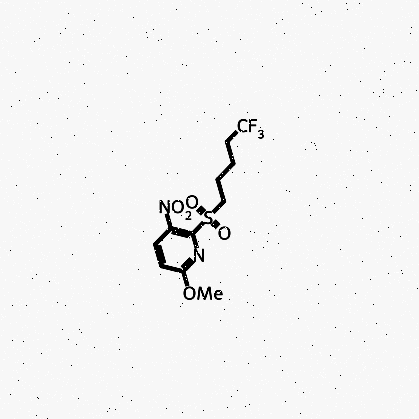 COc1ccc([N+](=O)[O-])c(S(=O)(=O)CCCCC(F)(F)F)n1